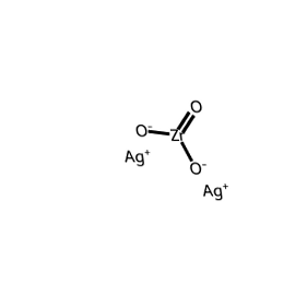 [Ag+].[Ag+].[O]=[Zr]([O-])[O-]